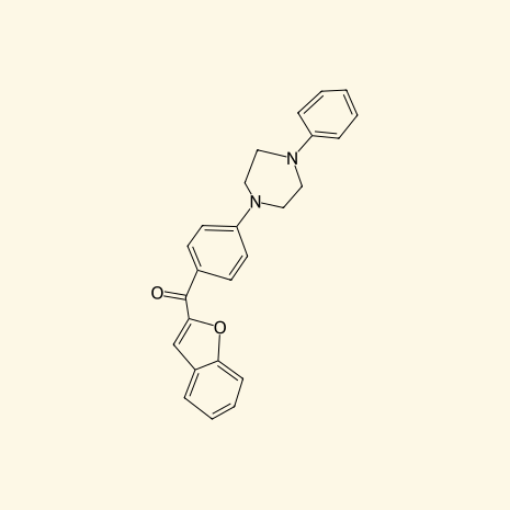 O=C(c1ccc(N2CCN(c3ccccc3)CC2)cc1)c1cc2ccccc2o1